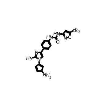 CC(C)(C)c1cc(NC(=O)Nc2ccc(-c3cn(C4=CC(N)C=C4)c(S)n3)cc2)no1